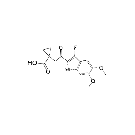 COc1cc2[se]c(C(=O)CC3(C(=O)O)CC3)c(F)c2cc1OC